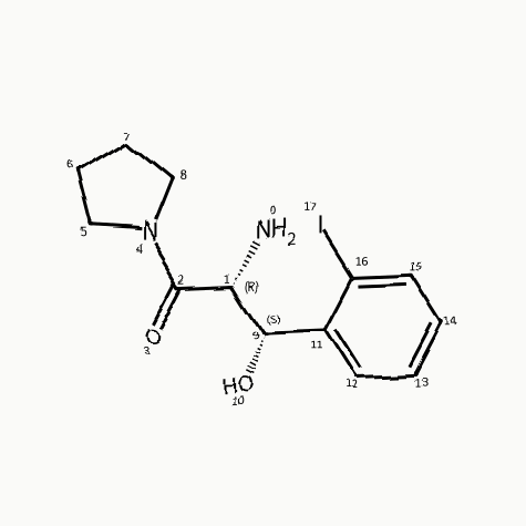 N[C@@H](C(=O)N1CCCC1)[C@@H](O)c1ccccc1I